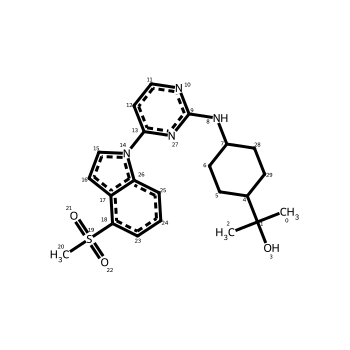 CC(C)(O)C1CCC(Nc2nccc(-n3ccc4c(S(C)(=O)=O)cccc43)n2)CC1